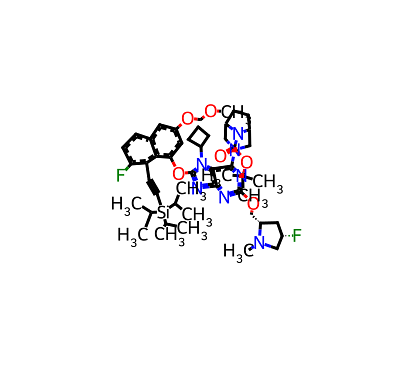 COCOc1cc(Oc2nc3nc(OC[C@@H]4C[C@H](F)CN4C)nc(N4CC5CCC(C4)N5C(=O)OC(C)(C)C)c3n2C2CCC2)c2c(C#C[Si](C(C)C)(C(C)C)C(C)C)c(F)ccc2c1